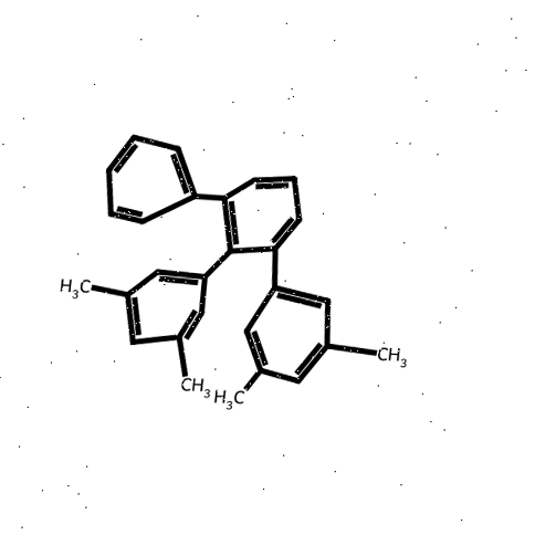 Cc1cc(C)cc(-c2cccc(-c3ccccc3)c2-c2cc(C)cc(C)c2)c1